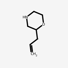 C=C[CH]C1CNCCO1